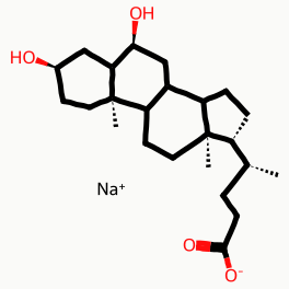 C[C@H](CCC(=O)[O-])[C@H]1CCC2C3C[C@H](O)C4C[C@H](O)CC[C@]4(C)C3CC[C@@]21C.[Na+]